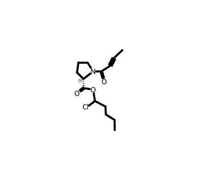 CC#CC(=O)N1CCC[C@H]1C(=O)OC(Cl)CCCC